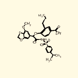 CCCc1cc(C(=O)O)ccc1OC(C(=O)NS(=O)(=O)c1ccc(C(C)C)cc1)c1cc(OC)c2c(c1)OCO2